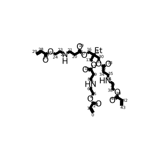 C=CC(=O)OCCNCCC(=O)OCC(CC)(COC(=O)CCNCCOC(=O)C=C)COC(=O)CCNCCOC(=O)C=C